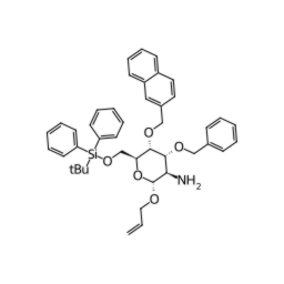 C=CCO[C@@H]1O[C@@H](CO[Si](c2ccccc2)(c2ccccc2)C(C)(C)C)[C@H](OCc2ccc3ccccc3c2)[C@H](OCc2ccccc2)[C@H]1N